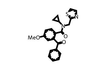 COc1ccc(C(=O)N(Cc2nccs2)C2CC2)c(C(=O)c2ccccc2)c1